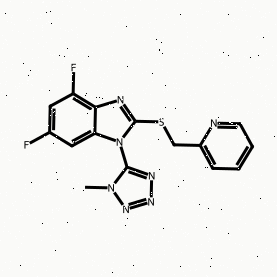 Cn1nnnc1-n1c(SCc2ccccn2)nc2c(F)cc(F)cc21